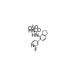 CS(=O)(=O)NC(=O)Nc1c(-c2ccnc(F)c2)ccc2c1CCC2